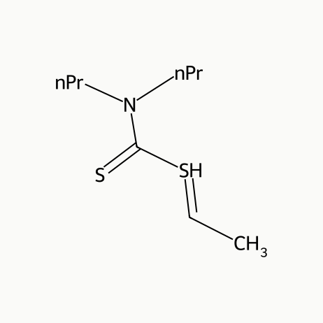 CC=[SH]C(=S)N(CCC)CCC